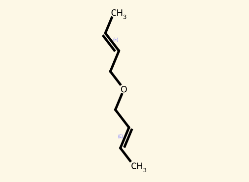 C/C=C/COC/C=C/C